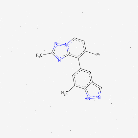 Cc1cc(-c2c(C(C)C)ccn3nc(C(F)(F)F)nc23)cc2cn[nH]c12